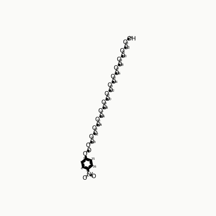 O=[N+]([O-])c1ccc(OOOOOOOOOOOOOOOOOOOOOOOOOOOO)cc1